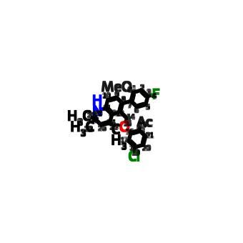 COc1cc(F)ccc1-c1ccc2c(c1COc1cc(Cl)ccc1C(C)=O)C(C)=CC(C)(C)N2